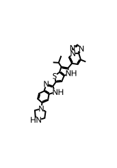 Cc1cc(-c2[nH]c3cc(-c4nc5ccc(N6CCNCC6)cc5[nH]4)sc3c2C(C)C)cn2ncnc12